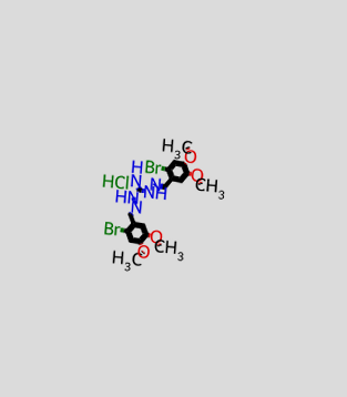 COc1cc(Br)c(C=NNC(=N)NN=Cc2cc(OC)c(OC)cc2Br)cc1OC.Cl